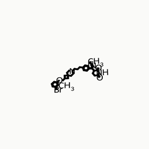 Cc1c(Br)cccc1OCC1CC2(CCN(CCCc3ccc4c(C5CCC(=O)NC5=O)nn(C)c4c3)CC2)C1